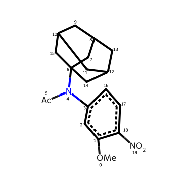 COc1cc(N(C(C)=O)C23CC4CC(CC(C4)C2)C3)ccc1[N+](=O)[O-]